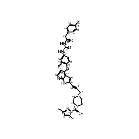 Cc1cc(C)n(C(=O)N2CCN(CC#Cc3cc4c(Oc5ccc(NC(=O)NC(=O)Cc6ccc(F)cc6)cc5F)ccnc4[nH]3)CC2)n1